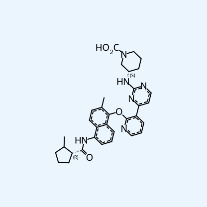 Cc1ccc2c(NC(=O)[C@@H]3CCCC3C)cccc2c1Oc1ncccc1-c1ccnc(N[C@H]2CCCN(C(=O)O)C2)n1